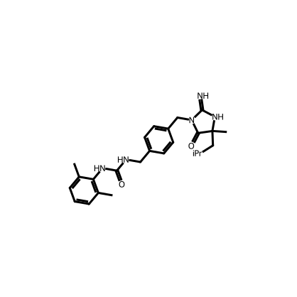 Cc1cccc(C)c1NC(=O)NCc1ccc(CN2C(=N)NC(C)(CC(C)C)C2=O)cc1